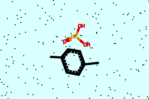 Cc1ccc(C)cc1.O=[PH](O)O